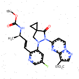 CCOC(=O)c1cnn2ccc(N3C(=O)C4(CC4)CN3c3cc(F)cnc3/C=C/[C@@H](C)NC(=O)OC(C)(C)C)nc12